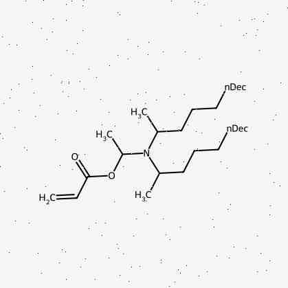 C=CC(=O)OC(C)N(C(C)CCCCCCCCCCCCC)C(C)CCCCCCCCCCCCC